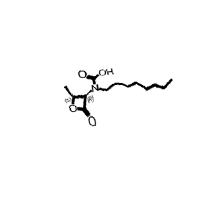 CCCCCCCCN(C(=O)O)[C@H]1C(=O)O[C@H]1C